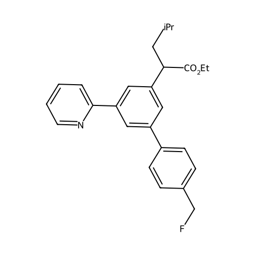 CCOC(=O)C(CC(C)C)c1cc(-c2ccc(CF)cc2)cc(-c2ccccn2)c1